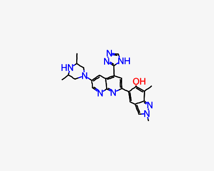 Cc1c(O)c(-c2cc(-c3nnc[nH]3)c3cc(N4CC(C)NC(C)C4)cnc3n2)cc2cn(C)nc12